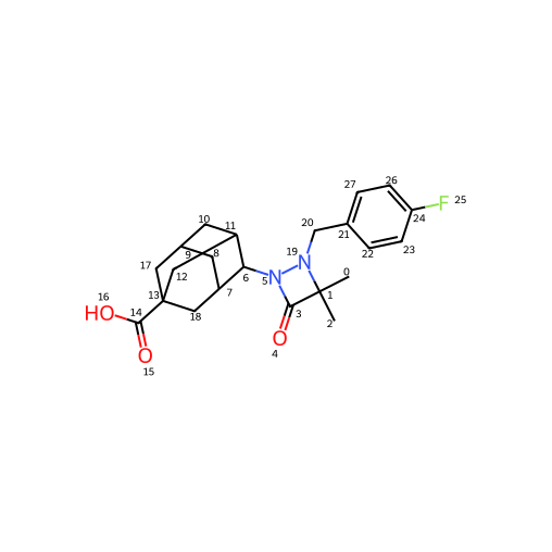 CC1(C)C(=O)N(C2C3CC4CC2CC(C(=O)O)(C4)C3)N1Cc1ccc(F)cc1